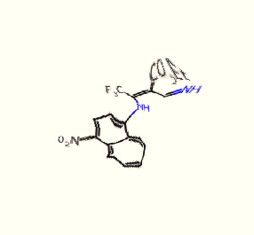 CCOC(=O)/C(C=N)=C(/Nc1ccc([N+](=O)[O-])c2ccccc12)C(F)(F)F